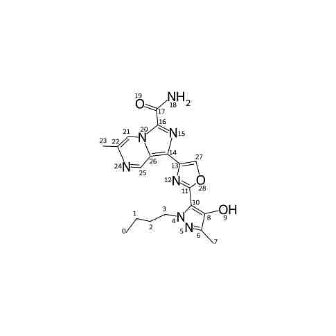 CCCCn1nc(C)c(O)c1-c1nc(-c2nc(C(N)=O)n3cc(C)ncc23)co1